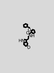 COc1ccc2[nH]cc(CCNC(=O)c3ccccc3OCc3ccccc3)c2c1